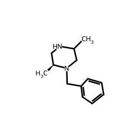 CC1CN(Cc2ccccc2)[C@@H](C)CN1